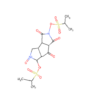 CC(C)S(=O)(=O)OC1C2C(=O)C3C(=O)N(OS(=O)(=O)C(C)C)C(=O)C3C2C[N+]1=O